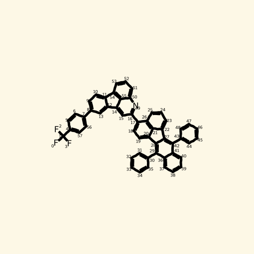 FC(F)(F)c1ccc(-c2ccc3c(c2)-c2cc(-c4ccc5c6c(cccc46)-c4c-5c(-c5ccccc5)c5ccccc5c4-c4ccccc4)nc4cccc-3c24)cc1